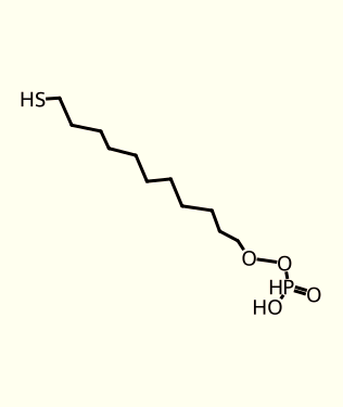 O=[PH](O)OOCCCCCCCCCCCS